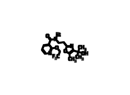 CCN(CCc1nc(C(C)(C)O)c(C)o1)C(=O)c1cccnc1OCC(F)(F)F